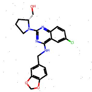 OC[C@H]1CCCN1c1nc(NCc2ccc3c(c2)OCO3)c2cc(Cl)ccc2n1